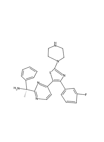 C[C@](N)(c1ccccc1)c1nccc(-c2sc(N3CCNCC3)nc2-c2cccc(F)c2)n1